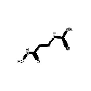 CCCCC(=O)NCCC(=O)NO